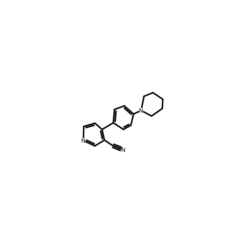 N#Cc1cnccc1-c1ccc(N2CCCCC2)cc1